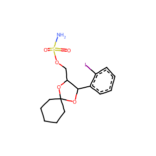 NS(=O)(=O)OCC1OC2(CCCCC2)OC1c1ccccc1I